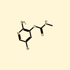 CNC(=O)Oc1cc(Br)cnc1N